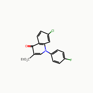 CCOC(=O)c1cn(-c2ccc(F)cc2)c2cc(Cl)ccc2c1=O